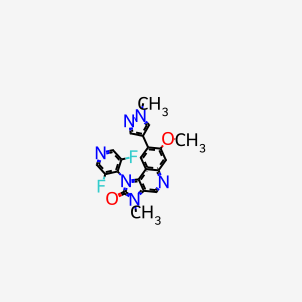 COc1cc2ncc3c(c2cc1-c1cnn(C)c1)n(-c1c(F)cncc1F)c(=O)n3C